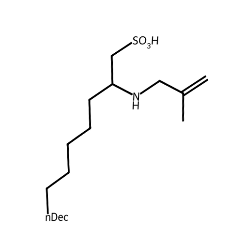 C=C(C)CNC(CCCCCCCCCCCCCCC)CS(=O)(=O)O